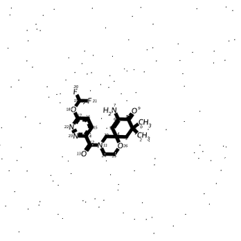 CC1(C)CC2(C=C(N)C1=O)CN(C(=O)c1ccc(OC(F)F)nn1)CCO2